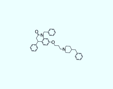 O=C1CC(c2ccccc2)c2ccc(OCCCN3CCC(Cc4ccccc4)CC3)cc2N1Cc1ccccc1